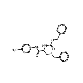 Cc1ccc(NC(=O)C(CSCc2ccccc2)NC(=O)OCc2ccccc2)cc1